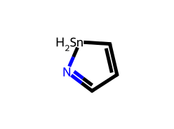 C1=[CH][SnH2][N]=C1